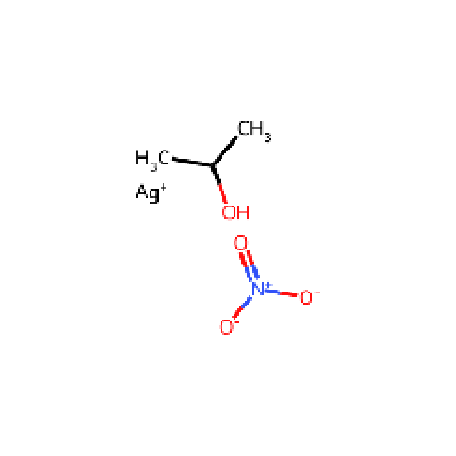 CC(C)O.O=[N+]([O-])[O-].[Ag+]